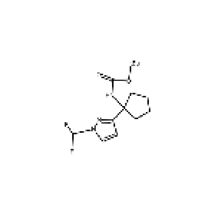 CC(C)(C)OC(=O)NC1(c2ccn(C(F)F)n2)CCCC1